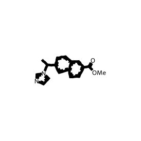 COC(=O)c1ccc2cc(C(C)n3ccnc3)ccc2c1